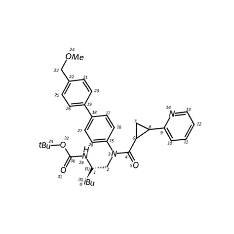 CC[C@H](C)[C@@H](CN(C(=O)C1CC1c1ccccn1)c1ccc(-c2ccc(COC)cc2)cc1)NC(=O)OC(C)(C)C